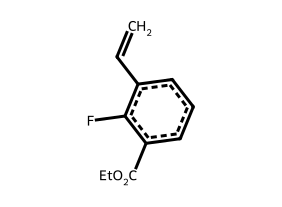 C=Cc1cccc(C(=O)OCC)c1F